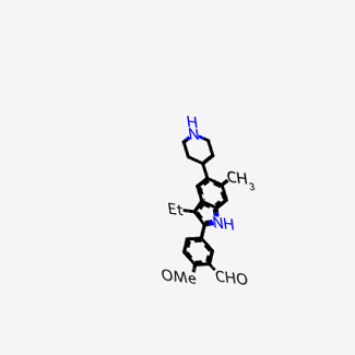 CCc1c(-c2ccc(OC)c(C=O)c2)[nH]c2cc(C)c(C3CCNCC3)cc12